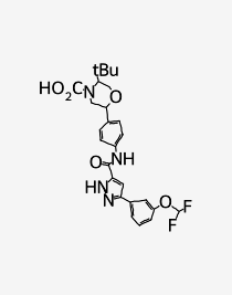 CC(C)(C)C1COC(c2ccc(NC(=O)c3cc(-c4cccc(OC(F)F)c4)n[nH]3)cc2)CN1C(=O)O